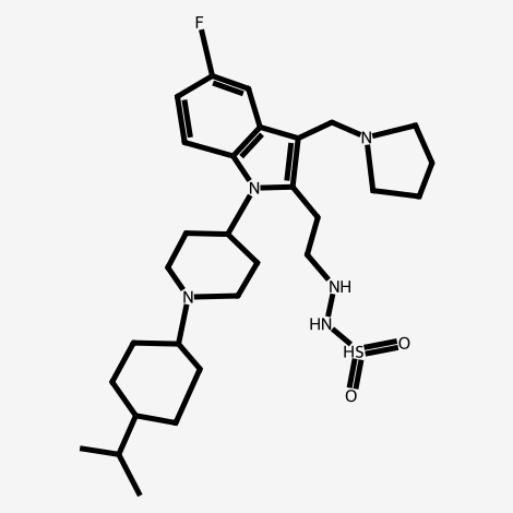 CC(C)C1CCC(N2CCC(n3c(CCNN[SH](=O)=O)c(CN4CCCC4)c4cc(F)ccc43)CC2)CC1